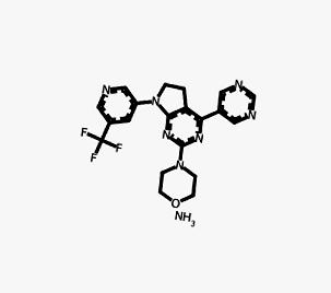 FC(F)(F)c1cncc(N2CCc3c(-c4cncnc4)nc(N4CCOCC4)nc32)c1.N